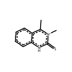 Cc1c2ccccc2[nH]c(=S)[n+]1C